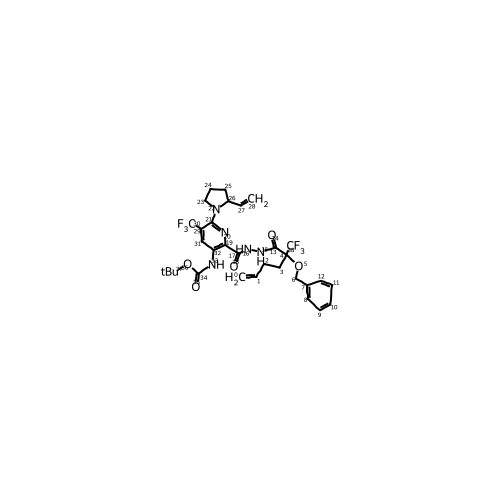 C=CCCC(OCc1ccccc1)(C(=O)NNC(=O)c1nc(N2CCCC2C=C)c(C(F)(F)F)cc1NC(=O)OC(C)(C)C)C(F)(F)F